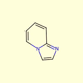 [c]1ccc2nccn2c1